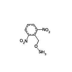 O=[N+]([O-])c1cccc([N+](=O)[O-])c1CO[SiH3]